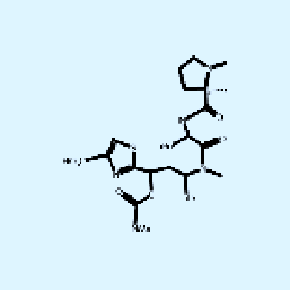 CCC(C)C(NC(=O)[C@@]1(C)CCCN1C)C(=O)N(C)C(CC(OC(=O)NC)c1nc(C(=O)O)cs1)C(C)C